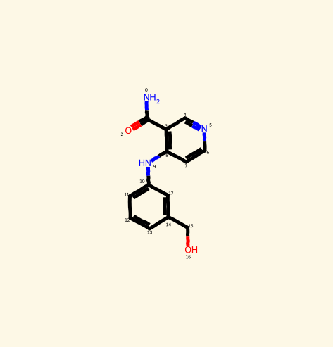 NC(=O)c1cnccc1Nc1cccc(CO)c1